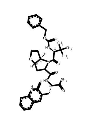 CC(C)(C)[C@H](NC(=O)OCc1ccccc1)C(=O)N1C(C(=O)N[C@@H](Cc2cc3ccccc3[nH]c2=O)C(N)=O)C[C@H]2OCC[C@H]21